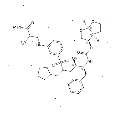 CNC(=O)C(N)CNc1cccc(S(=O)(=O)N(C[C@@H](O)[C@H](Cc2ccccc2)NC(=O)O[C@H]2CO[C@H]3OCC[C@H]32)OC2CCCC2)c1